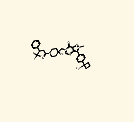 Cn1nc2c(=O)n(CC3(O)CCN(C(=O)CC(c4ccccc4)C(F)(F)F)CC3)cnc2c1-c1ccc(C2(N)CCC2)cc1